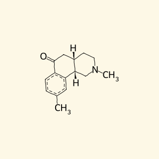 Cc1ccc2c(c1)[C@H]1CN(C)CC[C@H]1CC2=O